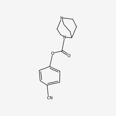 N#Cc1ccc(OC(=O)N2CCN3CCC2CC3)cc1